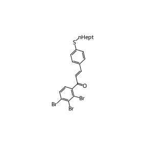 CCCCCCCSc1ccc(C=CC(=O)c2ccc(Br)c(Br)c2Br)cc1